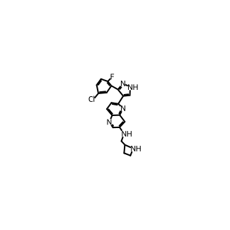 Fc1ccc(Cl)cc1-c1n[nH]cc1-c1ccc2ncc(NCC3CCN3)cc2n1